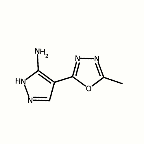 Cc1nnc(-c2cn[nH]c2N)o1